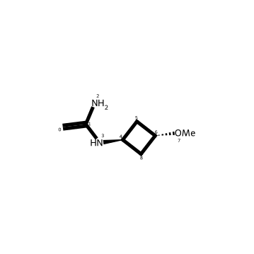 C=C(N)N[C@H]1C[C@H](OC)C1